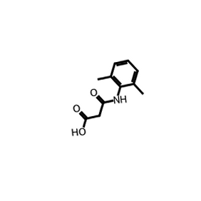 Cc1cccc(C)c1NC(=O)CC(=O)O